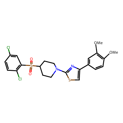 COc1ccc(-c2csc(N3CCC(S(=O)(=O)c4cc(Cl)ccc4Cl)CC3)n2)cc1OC